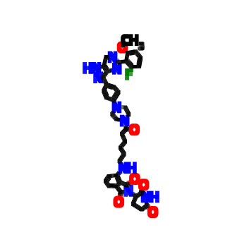 COc1cccc(F)c1-c1ncc2[nH]nc(-c3ccc(N4CCN(C(=O)CCCCCNc5cccc6c5C(=O)N(C5CCC(=O)NC5=O)C6=O)CC4)cc3)c2n1